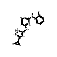 Cc1ccccc1Nc1nccc(Nc2cc(C3CC3)n[nH]2)n1